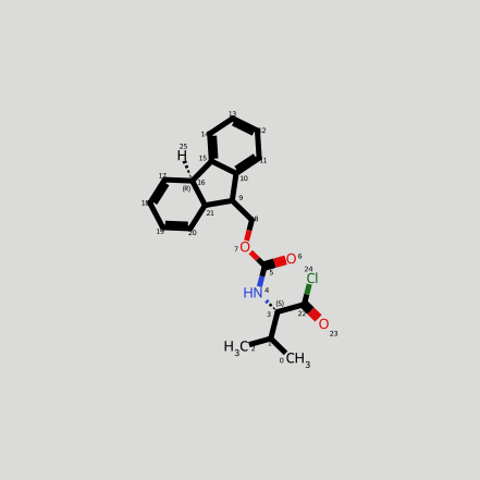 CC(C)[C@H](NC(=O)OCC1c2ccccc2[C@@H]2C=CC=CC12)C(=O)Cl